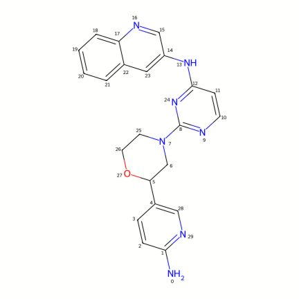 Nc1ccc(C2CN(c3nccc(Nc4cnc5ccccc5c4)n3)CCO2)cn1